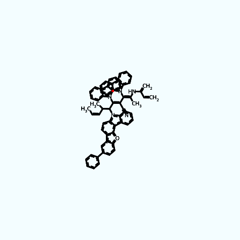 C=CC(=C)N/C(C)=C(/C(C#N)=C(C(C(C)/C=C\C)n1c2ccccc2c2c3oc4ccc(-c5ccccc5)cc4c3ccc21)n1c2ccccc2c2ccccc21)n1c2ccccc2c2ccccc21